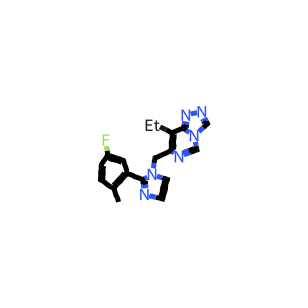 CCc1c(Cn2ccnc2-c2cc(F)ccc2C)ncn2cnnc12